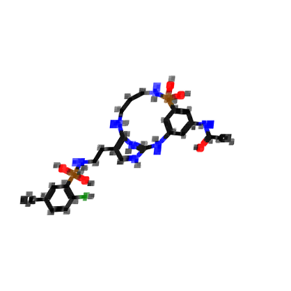 CC(=O)Nc1cc2cc(c1)S(=O)(=O)NCCCNc1nc(ncc1CCNS(=O)(=O)c1cc(C)ccc1F)N2